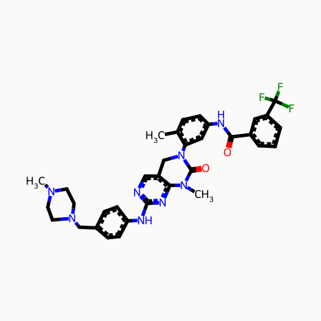 Cc1ccc(NC(=O)c2cccc(C(F)(F)F)c2)cc1N1Cc2cnc(Nc3ccc(CN4CCN(C)CC4)cc3)nc2N(C)C1=O